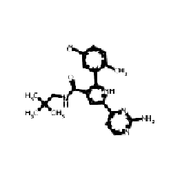 Cc1ccc(Cl)cc1-c1[nH]c(-c2ccnc(N)n2)cc1C(=O)NCC(C)(C)C